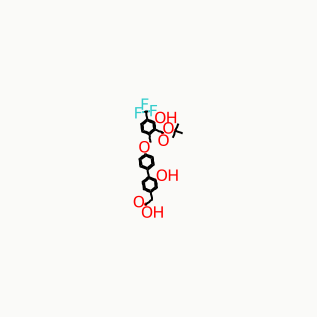 CC(C)(C)OC(=O)c1c(COc2ccc(-c3ccc(CC(=O)O)cc3O)cc2)ccc(C(F)(F)F)c1O